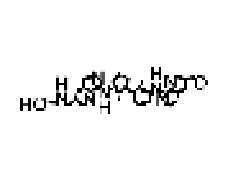 Cc1c(Nc2nccc3cc(C=O)cnc23)cccc1-c1cccc(Nc2nccc3cc(CNCCO)cnc23)c1C